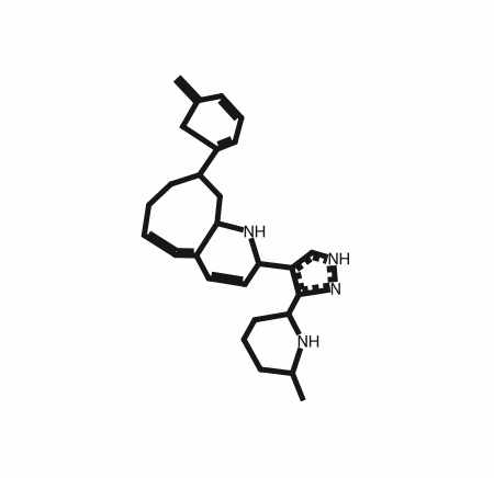 C=C1C=CC=C(C2CCC=C=C3C=CC(c4c[nH]nc4C4CCCC(C)N4)NC3C2)C1